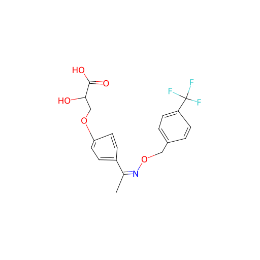 CC(=NOCc1ccc(C(F)(F)F)cc1)c1ccc(OCC(O)C(=O)O)cc1